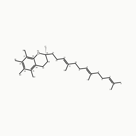 CC(C)=CCC/C(C)=C/CC/C(C)=C/CC[C@@]1(C)CCc2c(C)c(C)c(C)c(C)c2O1